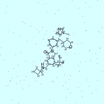 Cn1cnnc1[C@@H](c1cccc(N2Cc3c(cc(CNC4(C)CCC4)cc3C(F)(F)F)C2=O)c1)C1CCOCC1